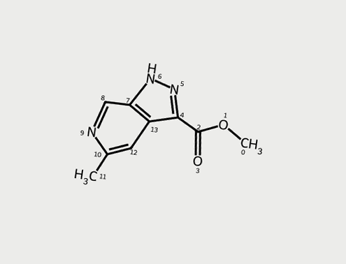 COC(=O)c1n[nH]c2cnc(C)cc12